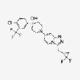 OC1(c2ccc(Cl)c(C(F)(F)F)c2)CCN(c2ccn3c(CC4CC4(F)F)nnc3c2)CC1